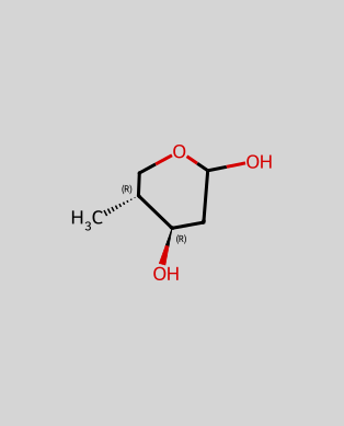 C[C@@H]1COC(O)C[C@H]1O